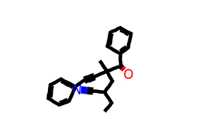 CCC(C#N)CC(C)(C#Cc1ccccc1)C(=O)c1ccccc1